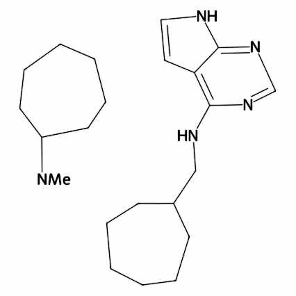 CNC1CCCCCC1.c1nc(NCC2CCCCCC2)c2cc[nH]c2n1